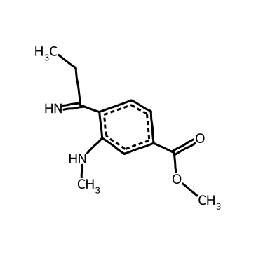 CCC(=N)c1ccc(C(=O)OC)cc1NC